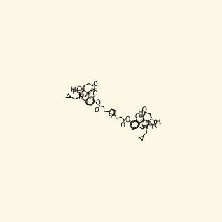 O=C(CCc1ccc(CCC(=O)Oc2ccc3c4c2O[C@H]2C(=O)CC[C@@]5(O)[C@@H](C3)N(CC3CC3)CC[C@]425)s1)Oc1ccc2c3c1O[C@H]1C(=O)CC[C@@]4(O)[C@@H](C2)N(CC2CC2)CC[C@]314